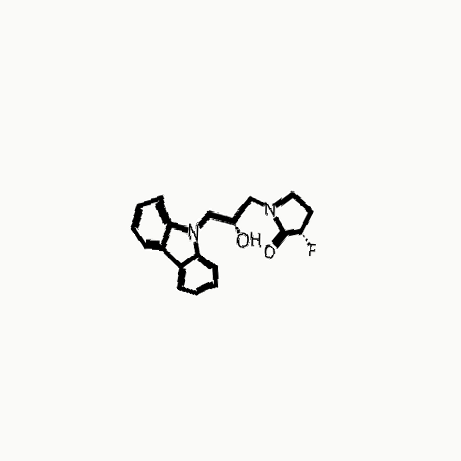 O=C1[C@@H](F)CCN1C[C@H](O)Cn1c2ccccc2c2ccccc21